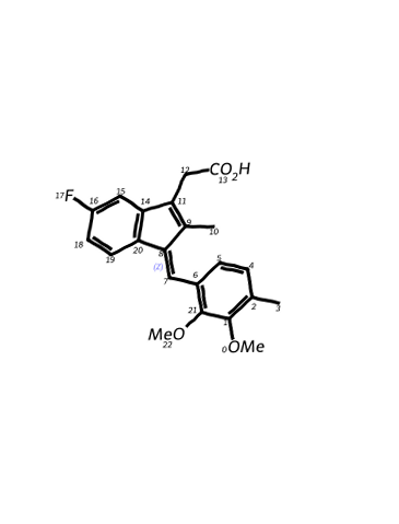 COc1c(C)ccc(/C=C2\C(C)=C(CC(=O)O)c3cc(F)ccc32)c1OC